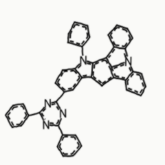 c1ccc(-c2nc(-c3ccccc3)nc(-c3ccc4c(c3)c3cc5c6ccccc6n6c7ccccc7c(c3n4-c3ccccc3)c56)n2)cc1